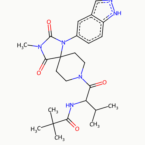 CC(C)C(NC(=O)C(C)(C)C)C(=O)N1CCC2(CC1)C(=O)N(C)C(=O)N2c1ccc2[nH]ncc2c1